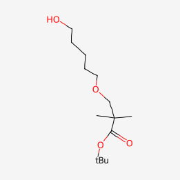 CC(C)(C)OC(=O)C(C)(C)COCCCCCO